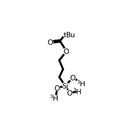 [3H]O[Si](CCCOC(=O)C(C)(C)C)(O[3H])O[3H]